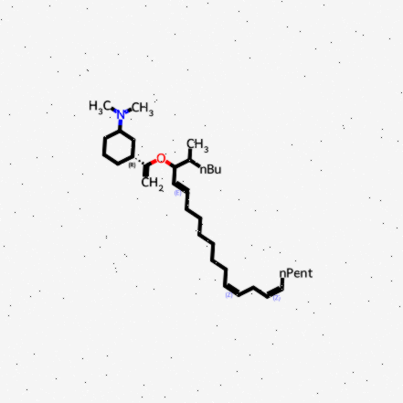 C=C(OC(/C=C/CCCCCC/C=C\C/C=C\CCCCC)C(C)CCCC)[C@@H]1CCCC(N(C)C)C1